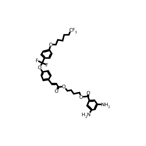 Nc1cc(N)cc(C(=O)OCCCCOC(=O)C=Cc2ccc(OC(F)(F)c3ccc(OCCCCCC(F)(F)F)cc3)cc2)c1